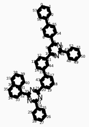 c1ccc(-c2ccc(-c3cc(-c4cccc(-c5cccc(-c6nc(-c7ccccc7)nc(-c7cccc8ccccc78)n6)c5)c4)nc(-c4ccccc4)n3)cc2)cc1